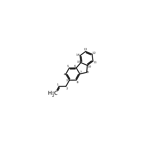 C=CCc1ccc2c(c1)Cc1ccccc1-2